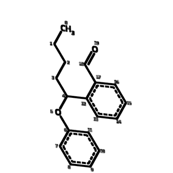 CCCCC(Oc1ccccc1)c1ccccc1C=O